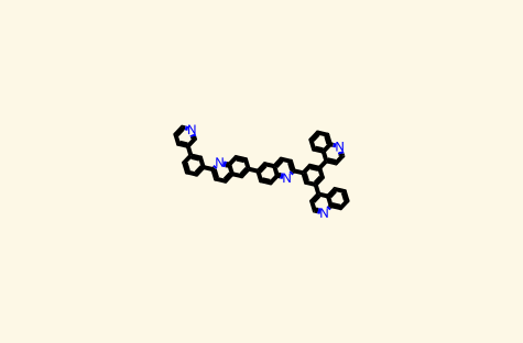 c1cncc(-c2cccc(-c3ccc4cc(-c5ccc6nc(-c7cc(-c8ccnc9ccccc89)cc(-c8ccnc9ccccc89)c7)ccc6c5)ccc4n3)c2)c1